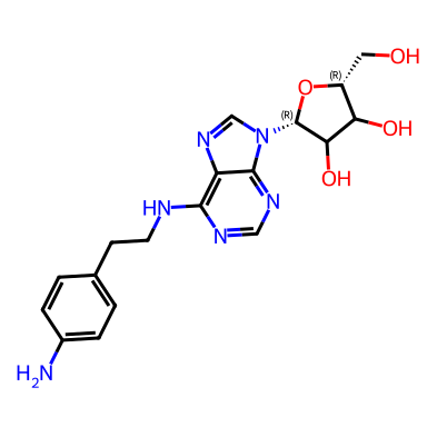 Nc1ccc(CCNc2ncnc3c2ncn3[C@@H]2O[C@H](CO)C(O)C2O)cc1